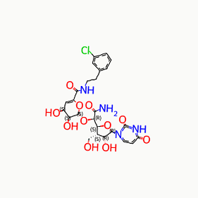 NC(=O)[C@H](O[C@H]1OC(C(=O)NCCc2cccc(Cl)c2)=C[C@H](O)[C@@H]1O)[C@H]1O[C@@H](n2ccc(=O)[nH]c2=O)[C@H](O)[C@@H]1CO